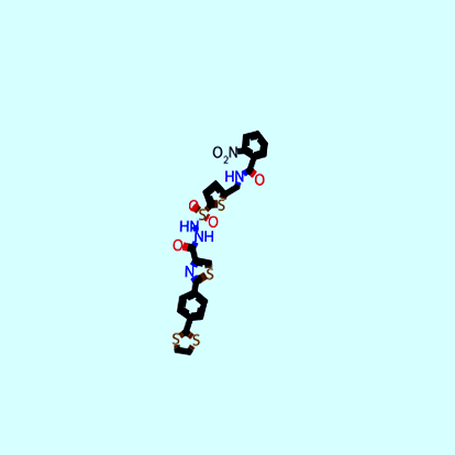 O=C(NNS(=O)(=O)c1ccc(CNC(=O)c2ccccc2[N+](=O)[O-])s1)c1csc(-c2ccc(C3SCCS3)cc2)n1